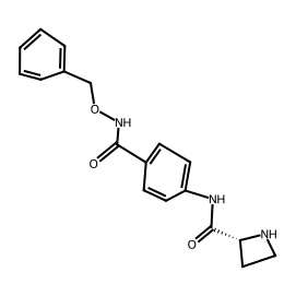 O=C(NOCc1ccccc1)c1ccc(NC(=O)[C@H]2CCN2)cc1